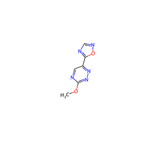 COc1ncc(-c2ncno2)nn1